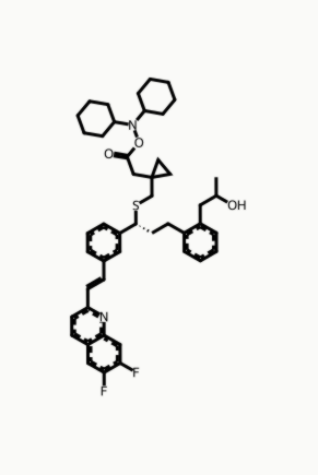 CC(O)Cc1ccccc1CC[C@@H](SCC1(CC(=O)ON(C2CCCCC2)C2CCCCC2)CC1)c1cccc(C=Cc2ccc3cc(F)c(F)cc3n2)c1